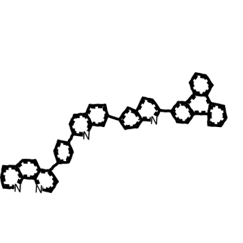 c1cnc2c(c1)ccc1c(-c3ccc(-c4ccc5ccc(-c6ccc7nc(-c8ccc9c%10ccccc%10c%10ccccc%10c9c8)ccc7c6)cc5n4)cc3)ccnc12